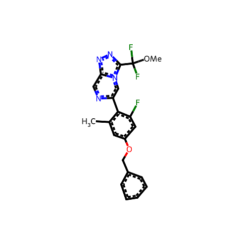 COC(F)(F)c1nnc2cnc(-c3c(C)cc(OCc4ccccc4)cc3F)cn12